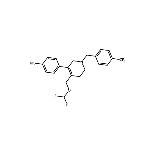 N#Cc1ccc(C2=C(COC(F)F)CCN(Cc3ccc(C(F)(F)F)cc3)C2)cc1